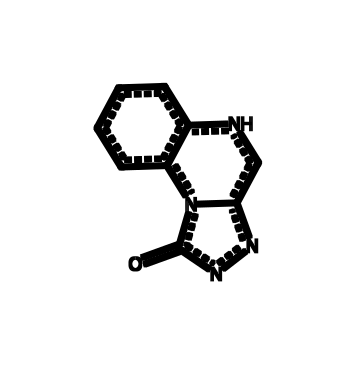 O=c1nnc2c[nH]c3ccccc3n1-2